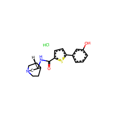 Cl.O=C(N[C@H]1CN2CCC1CC2)c1ccc(-c2cccc(O)c2)s1